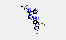 CCn1cc(-c2ccnc(Nc3ccc(N4CCNCC4)c(C)c3)n2)c(-c2cccnc2)n1